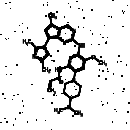 C=CC(=O)Nc1cc(Nc2ncc3c(C)cc(-c4cn(C)nc4C)n3n2)c(OC)cc1N1CCC(N(C)C)CC1